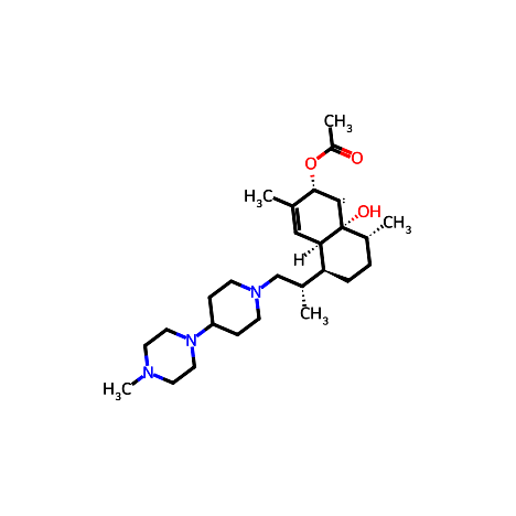 CC(=O)O[C@@H]1[C][C@@]2(O)[C@H](C)CC[C@@H]([C@H](C)CN3CCC(N4CCN(C)CC4)CC3)[C@H]2C=C1C